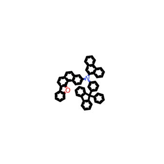 c1ccc(C2(c3cccc(N(c4ccc5c(ccc6ccc7c8ccccc8oc7c65)c4)c4cc5ccccc5c5ccccc45)c3)c3ccccc3-c3ccccc32)cc1